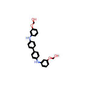 OCOc1cccc(Nc2ccc(-c3ccc(Nc4cccc(OCO)c4)cc3)cc2)c1